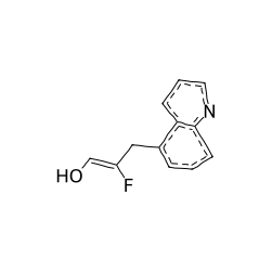 O/C=C(\F)Cc1cccc2ncccc12